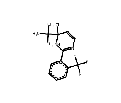 CC(C)(C)C1(Cl)C=CN=C(c2ccccc2C(F)(F)F)N1